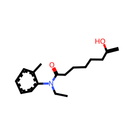 C=C(O)CCCCCC(=O)N(CC)c1ccccc1C